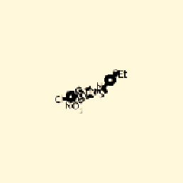 CCOc1ccc(-c2csc(N3CCN(S(=O)(=O)c4ccc(Cl)c([N+](=O)[O-])c4)CC3)n2)cc1